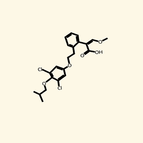 COC=C(C(=O)O)c1ccccc1CCOc1cc(Cl)c(OCC(C)C)c(Cl)c1